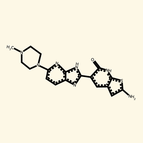 CN1CCN(c2ccc3nc(-c4cc5cc(N)sc5[nH]c4=O)[nH]c3n2)CC1